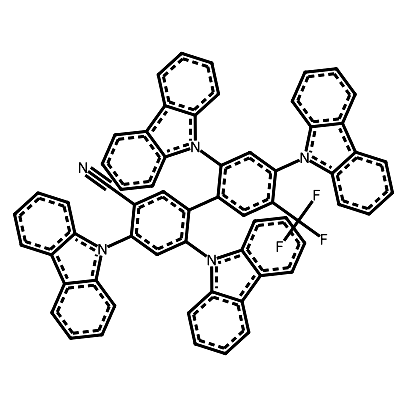 N#Cc1cc(-c2cc(C(F)(F)F)c(-n3c4ccccc4c4ccccc43)cc2-n2c3ccccc3c3ccccc32)c(-n2c3ccccc3c3ccccc32)cc1-n1c2ccccc2c2ccccc21